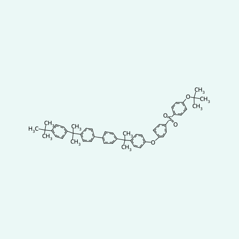 CC(C)(C)Oc1ccc(S(=O)(=O)c2ccc(Oc3ccc(C(C)(C)c4ccc(-c5ccc(C(C)(C)c6ccc(C(C)(C)C)cc6)cc5)cc4)cc3)cc2)cc1